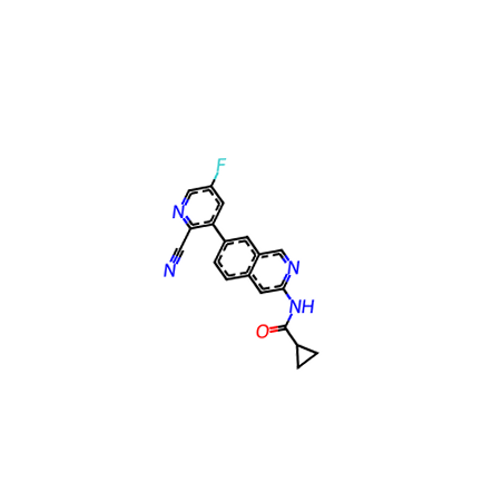 N#Cc1ncc(F)cc1-c1ccc2cc(NC(=O)C3CC3)ncc2c1